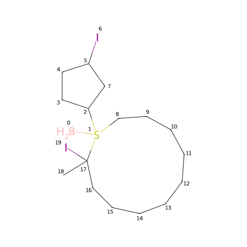 BS1(C2CCC(I)C2)CCCCCCCCCC1(C)I